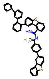 C/C(=N\C(=N)c1cccc2sc3ccc(-c4ccccc4-c4cccc(-c5ccccc5)c4)cc3c12)c1ccc(C2=CC=C3Sc4ccccc4C3C2)cc1